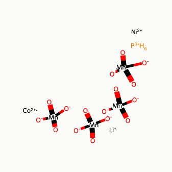 [Co+2].[Li+].[Ni+2].[O]=[Mn](=[O])([O-])[O-].[O]=[Mn](=[O])([O-])[O-].[O]=[Mn](=[O])([O-])[O-].[O]=[Mn](=[O])([O-])[O-].[PH6+3]